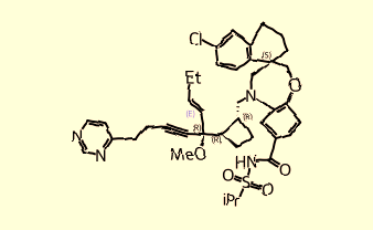 CC/C=C/[C@](C#CCCc1ccncn1)(OC)[C@@H]1CC[C@H]1CN1C[C@@]2(CCCc3cc(Cl)ccc32)COc2ccc(C(=O)NS(=O)(=O)C(C)C)cc21